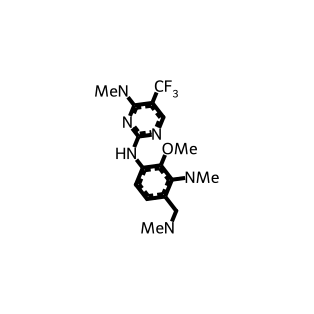 CNCc1ccc(Nc2ncc(C(F)(F)F)c(NC)n2)c(OC)c1NC